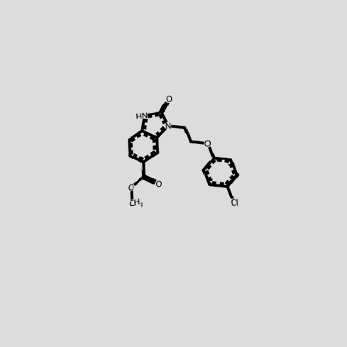 COC(=O)c1ccc2[nH]c(=O)n(CCOc3ccc(Cl)cc3)c2c1